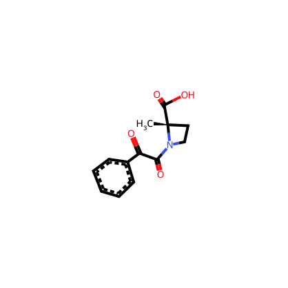 C[C@@]1(C(=O)O)CCN1C(=O)C(=O)c1ccccc1